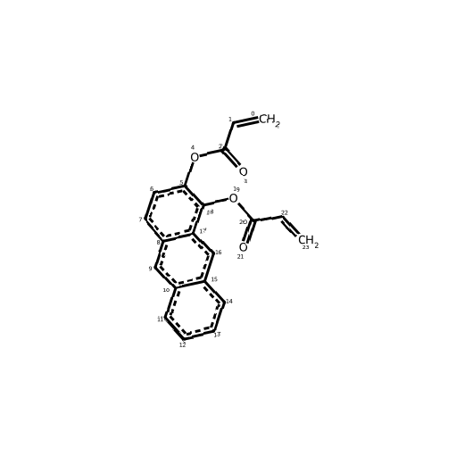 C=CC(=O)Oc1ccc2cc3ccccc3cc2c1OC(=O)C=C